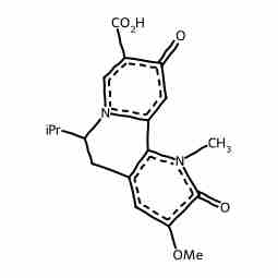 COc1cc2c(n(C)c1=O)-c1cc(=O)c(C(=O)O)cn1C(C(C)C)C2